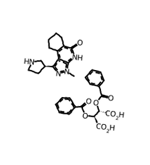 Cn1nc([C@H]2CCNC2)c2c3c(c(=O)[nH]c21)CCCC3.O=C(O[C@H](C(=O)O)[C@H](OC(=O)c1ccccc1)C(=O)O)c1ccccc1